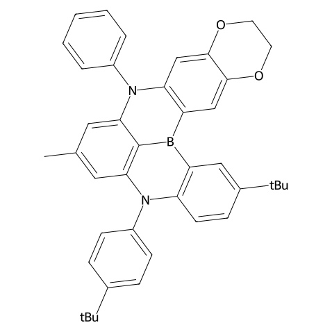 Cc1cc2c3c(c1)N(c1ccccc1)c1cc4c(cc1B3c1cc(C(C)(C)C)ccc1N2c1ccc(C(C)(C)C)cc1)OCCO4